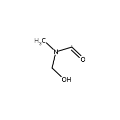 CN([C]=O)CO